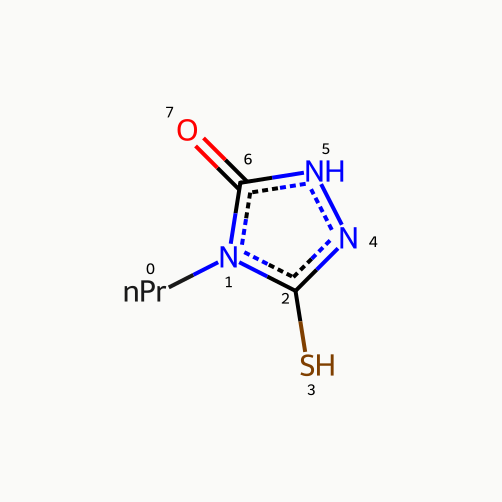 CCCn1c(S)n[nH]c1=O